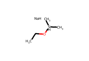 CCO[SiH](C)C.[NaH]